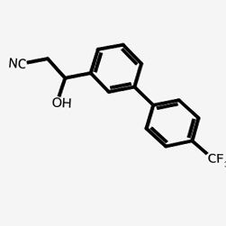 N#CCC(O)c1cccc(-c2ccc(C(F)(F)F)cc2)c1